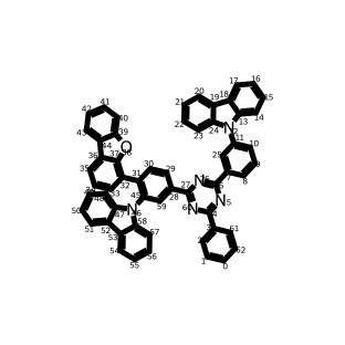 c1ccc(-c2nc(-c3cccc(-n4c5ccccc5c5ccccc54)c3)nc(-c3ccc(-c4cccc5c4oc4ccccc45)c(-n4c5ccccc5c5ccccc54)c3)n2)cc1